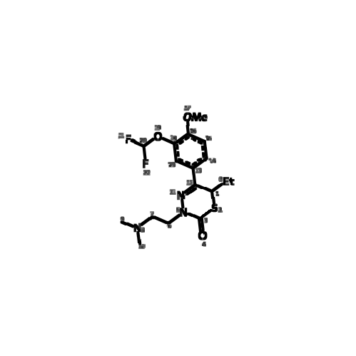 CCC1SC(=O)N(CCN(C)C)N=C1c1ccc(OC)c(OC(F)F)c1